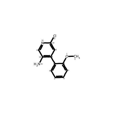 COc1ccccc1-c1cc(Cl)ncc1N